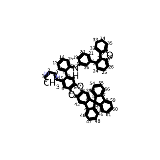 C/C=C\C=C\c1cc2c(cc1-c1ccccc1Nc1cccc(-c3cccc4oc5c(c34)=CCCC=5)c1)Oc1cc3c(cc1O2)-c1ccccc1C31c2ccccc2-c2ccccc21